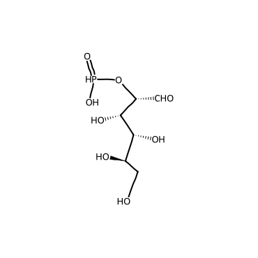 O=C[C@@H](O[PH](=O)O)[C@@H](O)[C@H](O)[C@H](O)CO